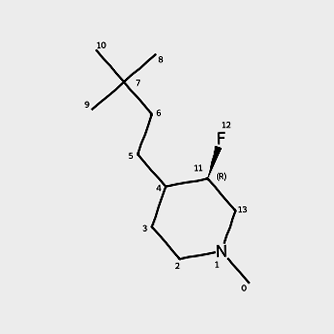 CN1CCC(CCC(C)(C)C)[C@@H](F)C1